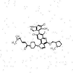 Cc1c(Cl)cc2[nH]ncc2c1-c1c(Cl)cc2c(nc(OCC3CCCN3C)c3cnn(C4CCN(C(=O)/C=C/CN(C)C)CC4)c32)c1F